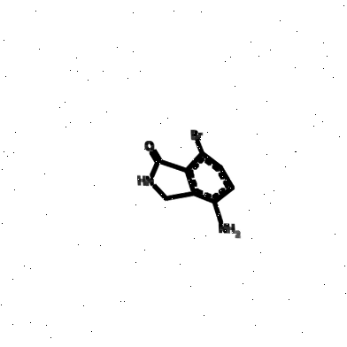 Nc1ccc(Br)c2c1CNC2=O